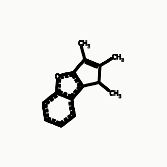 CC1=C(C)C(C)c2c1oc1ccccc21